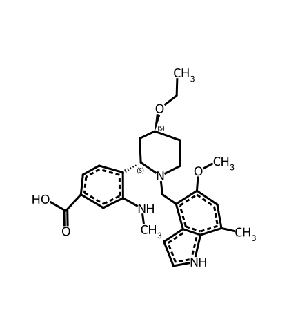 CCO[C@H]1CCN(Cc2c(OC)cc(C)c3[nH]ccc23)[C@H](c2ccc(C(=O)O)cc2NC)C1